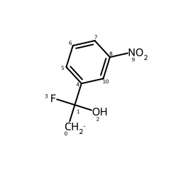 [CH2]C(O)(F)c1cccc([N+](=O)[O-])c1